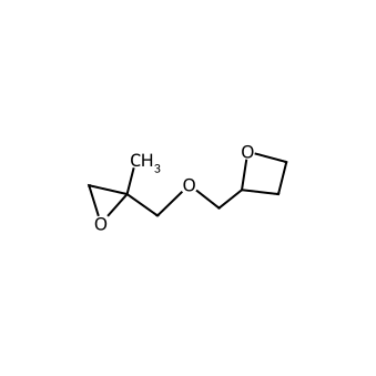 CC1(COCC2CCO2)CO1